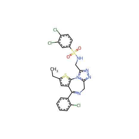 CCc1cc2c(s1)-n1c(nnc1CNS(=O)(=O)c1ccc(Cl)c(Cl)c1)CN=C2c1ccccc1Cl